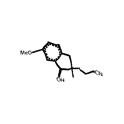 COc1ccc2c(c1)C(O)C(C)(CCC#N)C2